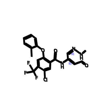 CN/N=C\C(=C/C=O)NC(=O)c1cc(Cl)c(C(F)(F)F)cc1Oc1ccccc1C